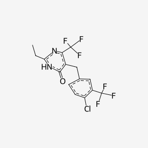 CCc1nc(C(F)(F)F)c(Cc2ccc(Cl)c(C(F)(F)F)c2)c(=O)[nH]1